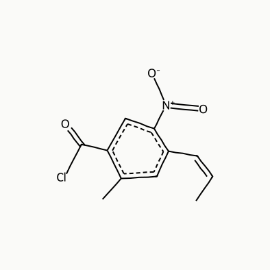 C/C=C\c1cc(C)c(C(=O)Cl)cc1[N+](=O)[O-]